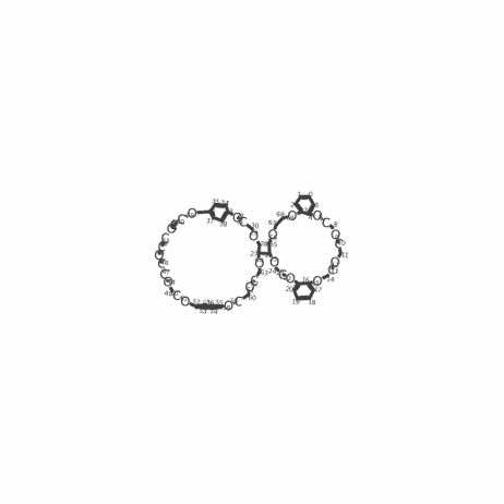 c1ccc2c(c1)OCCOCCOCCOc1ccccc1OCCOC(C1COCCOc3ccc(cc3)OCCOCCOCCOCCOc3ccc(cc3)OCCOCCO1)COCCO2